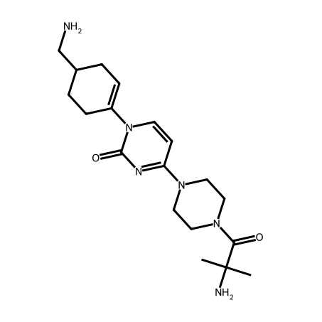 CC(C)(N)C(=O)N1CCN(c2ccn(C3=CCC(CN)CC3)c(=O)n2)CC1